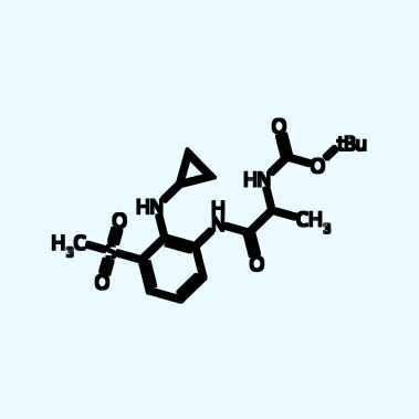 CC(NC(=O)OC(C)(C)C)C(=O)Nc1cccc(S(C)(=O)=O)c1NC1CC1